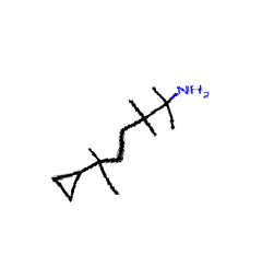 CC(C)(CCC(C)(C)C(C)(C)N)C1CC1